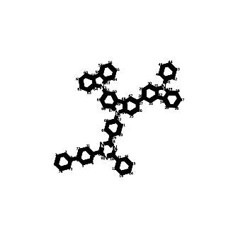 c1ccc(-c2ccc(-c3nc(-c4ccccc4)nc(-c4ccc(-n5c6ccc(-c7ccc8c(c7)c7ccccc7n8-c7ccccc7)cc6c6cc(-n7c8ccccc8c8ccccc87)ccc65)cc4)n3)cc2)cc1